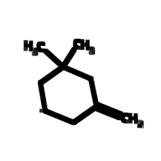 C=C1C[CH]CC(C)(C)C1